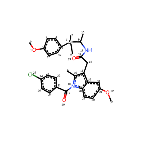 COc1ccc([Si](C)(C)C(C)NC(=O)Cc2c(C)n(C(=O)c3ccc(Cl)cc3)c3ccc(OC)cc23)cc1